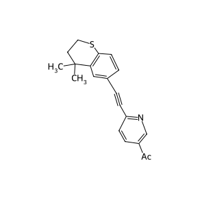 CC(=O)c1ccc(C#Cc2ccc3c(c2)C(C)(C)CCS3)nc1